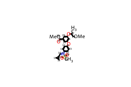 COC[C@H](C)Oc1cc(Oc2ccc(N(CC3CC3)S(C)(=O)=O)cc2)cc(C(=O)OC)c1